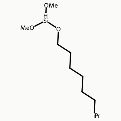 CO[SiH](OC)OCCCCCCC(C)C